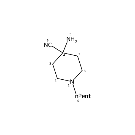 CCCCCN1CCC(N)(C#N)CC1